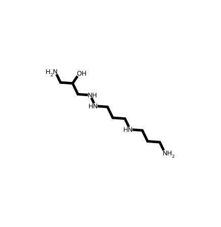 NCCCNCCCNNCC(O)CN